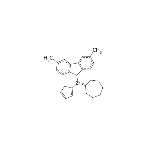 Cc1ccc2c(c1)-c1cc(C)ccc1[CH]2[Zr]([C]1=CC=CC1)=[C]1CCCCCC1